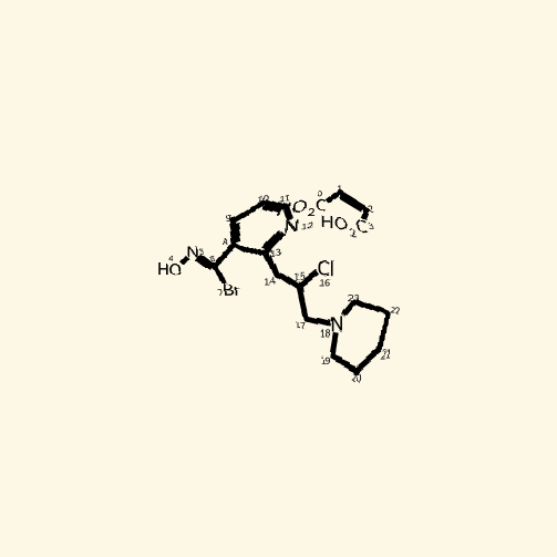 O=C(O)/C=C\C(=O)O.ON=C(Br)c1cccnc1CC(Cl)CN1CCCCC1